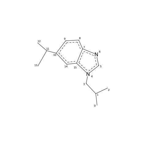 CC(C)Cn1cnc2ccc(C(C)C)cc21